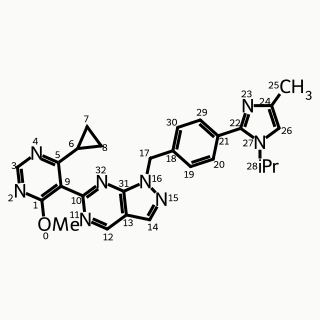 COc1ncnc(C2CC2)c1-c1ncc2cnn(Cc3ccc(-c4nc(C)cn4C(C)C)cc3)c2n1